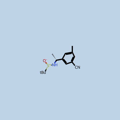 Cc1cc(C#N)cc([C@@H](C)N[S@+]([O-])C(C)(C)C)c1